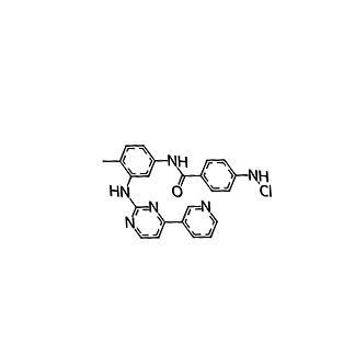 Cc1ccc(NC(=O)c2ccc(NCl)cc2)cc1Nc1nccc(-c2cccnc2)n1